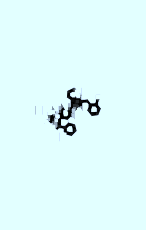 CC(c1ccccc1F)N(C(=O)O)c1cnc(-n2nc(Cc3ccccc3F)c3ncccc32)nc1N